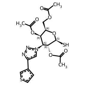 CC(=O)OC[C@H]1O[C@@H](S)[C@H](OC(C)=O)[C@@H](n2cc(-c3ccsc3)nn2)[C@H]1OC(C)=O